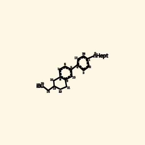 CCCCCCCc1ccc(-c2ccc3c(c2)CCC(CC(C)CC)C3)cc1